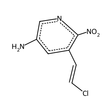 Nc1cnc([N+](=O)[O-])c(/C=C/Cl)c1